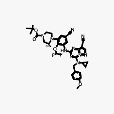 COc1ccc(CN(c2nc(Nc3cc(C#N)cc(N4CCN(C(=O)OC(C)(C)C)C[C@@H]4C)c3OC(F)F)nc3c(C#N)cnn23)C2CC2)cc1